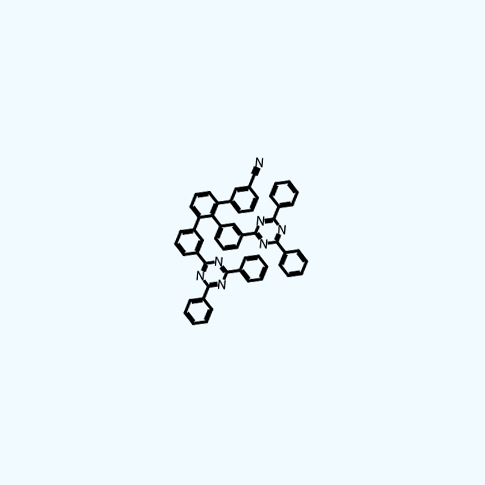 N#Cc1cccc(-c2cccc(-c3cccc(-c4nc(-c5ccccc5)nc(-c5ccccc5)n4)c3)c2-c2cccc(-c3nc(-c4ccccc4)nc(-c4ccccc4)n3)c2)c1